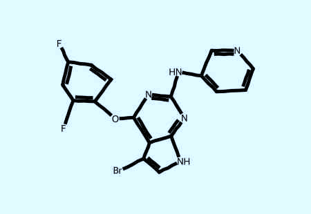 Fc1ccc(Oc2nc(Nc3cccnc3)nc3[nH]cc(Br)c23)c(F)c1